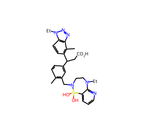 CCN1CCN(Cc2cc(C(CC(=O)O)c3ccc4c(nnn4CC)c3C)ccc2C)S(O)(O)c2cccnc21